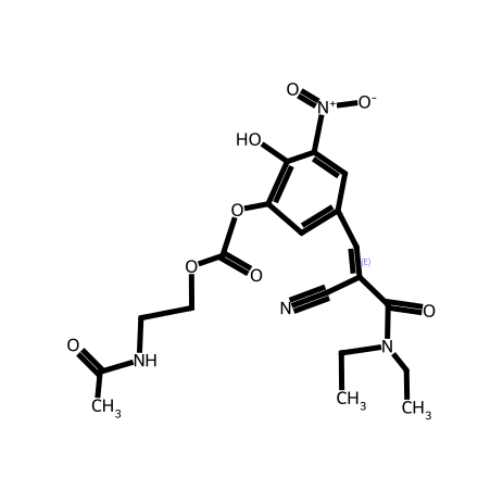 CCN(CC)C(=O)/C(C#N)=C/c1cc(OC(=O)OCCNC(C)=O)c(O)c([N+](=O)[O-])c1